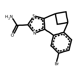 NC(=O)c1nc2c(s1)C1CC(C1)c1ccc(Br)cc1-2